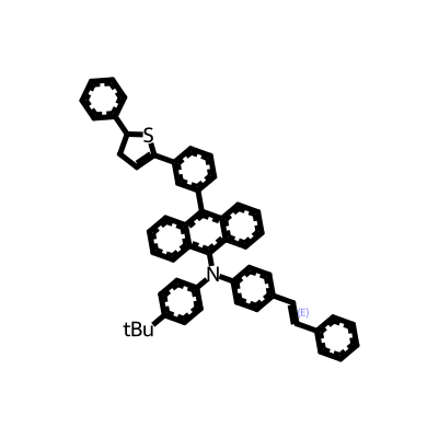 CC(C)(C)c1ccc(N(c2ccc(/C=C/c3ccccc3)cc2)c2c3ccccc3c(-c3cccc(C4=CCC(c5ccccc5)S4)c3)c3ccccc23)cc1